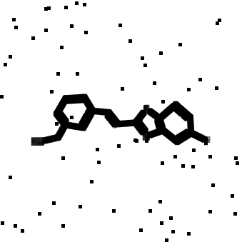 OCc1cccc(C=Cc2nc3cc(F)ccc3s2)c1